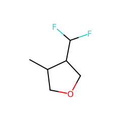 CC1COCC1C(F)F